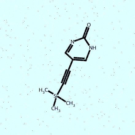 C[Si](C)(C)C#Cc1cnc(=O)[nH]c1